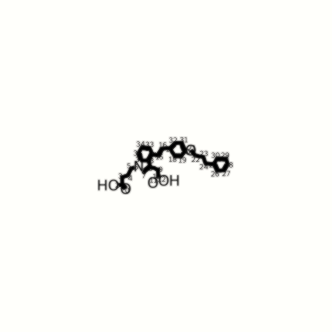 O=C(O)CCCn1cc(CC(=O)O)c2c(C=Cc3ccc(OCCCc4ccccc4)cc3)cccc21